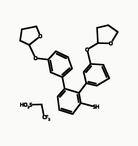 O=S(=O)(O)CC(F)(F)F.Sc1cccc(-c2cccc(OC3CCCO3)c2)c1-c1cccc(OC2CCCO2)c1